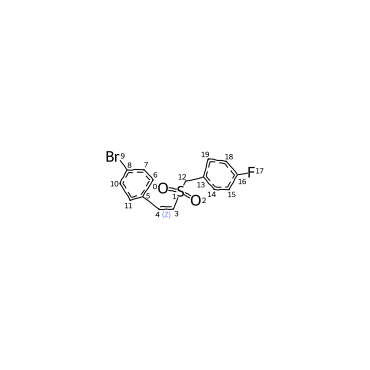 O=S(=O)(/C=C\c1ccc(Br)cc1)Cc1ccc(F)cc1